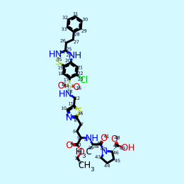 CCOC(=O)C(CCc1ncc(CNS(=O)(=O)c2cc3c(cc2Cl)NC(CCc2ccccc2)NS3)s1)N[C@@H](C)C(=O)N1CCC[C@H]1C(=O)O